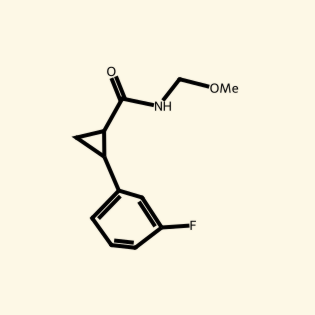 COCNC(=O)C1CC1c1cccc(F)c1